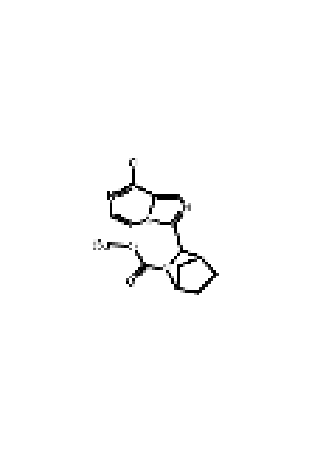 CC(C)(C)OC(=O)N1C2CCC(C2)C1c1ncc2c(Cl)nccn12